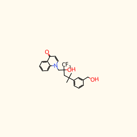 CC(C)(CC(O)(Cn1ccc(=O)c2ccccc21)C(F)(F)F)c1cccc(CO)c1